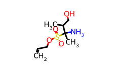 C=CCOS(=O)(=O)C(C)(N)C(C)CO